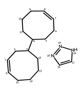 C1=CCC(C2CCC=CCCC2)CCCC1.c1c[nH]nn1